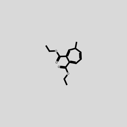 CCOC(=O)C1=CC=CC(C)C=C1C(=O)OCC